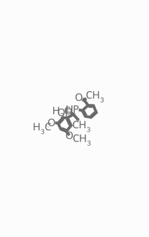 CCC(C)(Pc1ccccc1C(C)=O)c1cc(OC)cc(OC)c1O